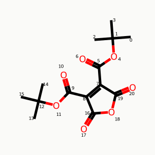 CC(C)(C)OC(=O)C1=C(C(=O)OC(C)(C)C)C(=O)OC1=O